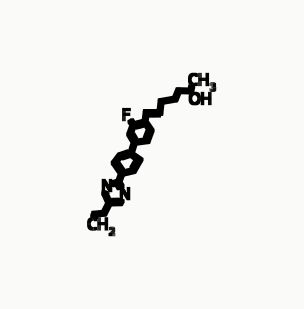 C=CCc1cnc(-c2ccc(-c3ccc(C=CCCCC(C)O)c(F)c3)cc2)nc1